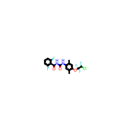 Cc1cc(OC(F)(F)C(F)Cl)c(C)cc1NC(=O)NC(=O)c1c(F)cccc1F